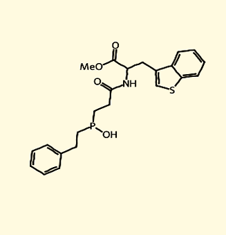 COC(=O)C(Cc1csc2ccccc12)NC(=O)CCP(O)CCc1ccccc1